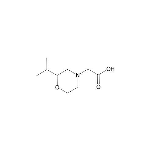 CC(C)C1CN(CC(=O)O)CCO1